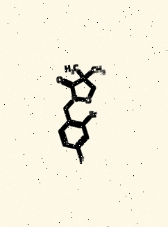 CC1(C)CON(Cc2ccc(F)cc2Br)C1=O